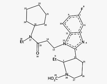 CCC1C(c2nc3cc(F)ccc3n2CCC(=O)N(CC)C2CCCCC2)CCCN1C(=O)O